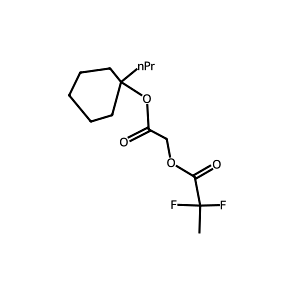 CCCC1(OC(=O)COC(=O)C(C)(F)F)CCCCC1